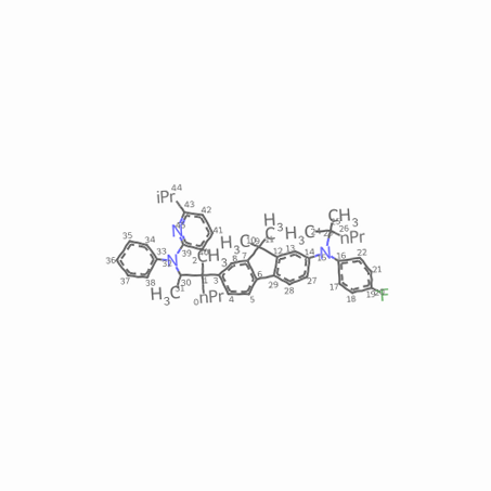 CCCC(C)(c1ccc2c(c1)C(C)(C)c1cc(N(c3ccc(F)cc3)C(C)(C)CCC)ccc1-2)C(C)N(c1ccccc1)c1cccc(C(C)C)n1